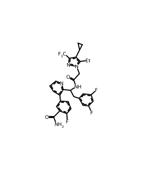 CCc1c(C2CC2)c(C(F)(F)F)nn1CC(=O)NC(Cc1cc(F)cc(F)c1)c1ncccc1-c1ccc(F)c(C(N)=O)c1